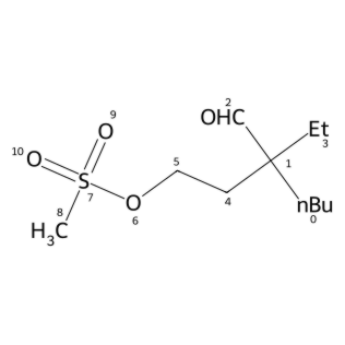 CCCCC(C=O)(CC)CCOS(C)(=O)=O